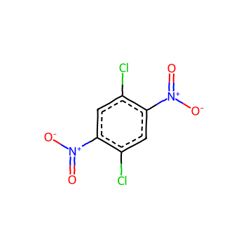 O=[N+]([O-])c1cc(Cl)c([N+](=O)[O-])cc1Cl